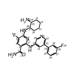 NC(=O)c1cc(F)c(N[C@@H]2CCCC[C@@H]2N)nc1Nc1cncc(-c2cccc(F)c2)c1